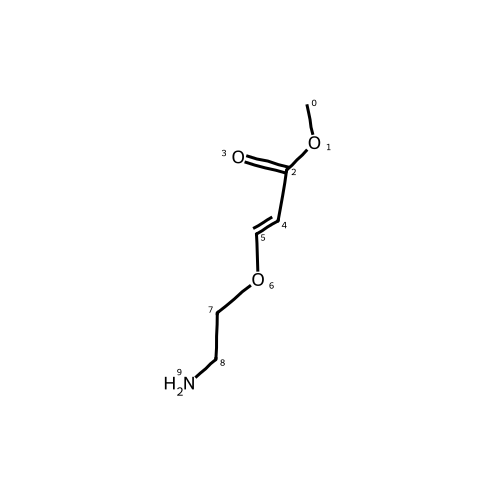 COC(=O)C=COCCN